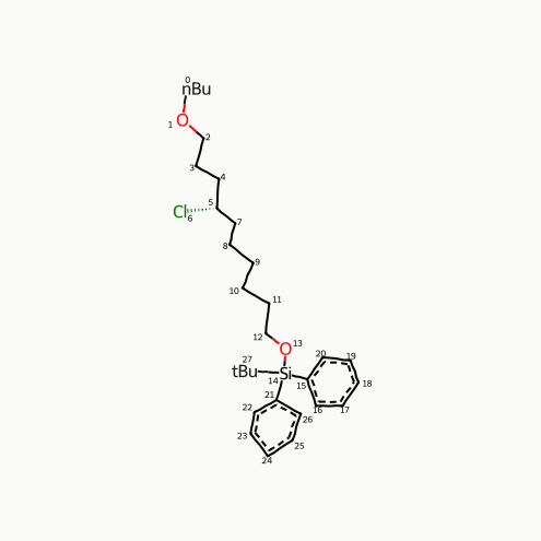 CCCCOCCC[C@@H](Cl)CCCCCCO[Si](c1ccccc1)(c1ccccc1)C(C)(C)C